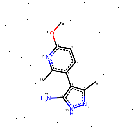 COc1ccc(-c2c(C)n[nH]c2N)c(C)n1